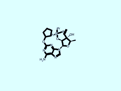 C=C[C@]1(O)[C@H](O[Si](C(C)C)(C(C)C)C(C)C)[C@H](n2cnc3c(N)nc(OC4CCCC4)nc32)O[C@@H]1C